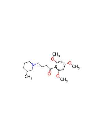 COc1cc(OC)c(C(=O)CCCN2CCCC(C)C2)c(OC)c1